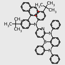 CC(C)(C)c1ccc(N(c2ccc3c(n2)N(c2ccccc2)c2cccc4c2B3c2ccccc2N4c2ccccc2)c2ccc(C(C)(C)C)cc2-c2cccc3ccccc23)cc1